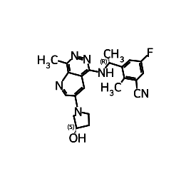 Cc1c(C#N)cc(F)cc1[C@@H](C)Nc1nnc(C)c2ncc(N3CC[C@H](O)C3)cc12